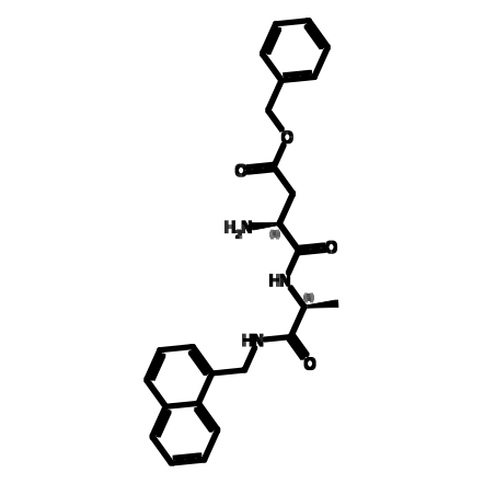 C[C@H](NC(=O)[C@@H](N)CC(=O)OCc1ccccc1)C(=O)NCc1cccc2ccccc12